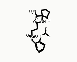 NC(=O)C1(NC(=O)[CH]CS(=O)(=O)Cc2ccccc2OC(F)F)CCCC1=O